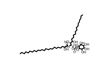 CCCCCCCCCCCCCCCCCCCCCC[C@@H](O)C(=O)N[C@@H](COP(=O)(O)OC1[C@H](O)[C@H](O)C(O)[C@H](O)[C@H]1O)[C@H](O)[C@H](O)CCCCCCCCCCCCCC